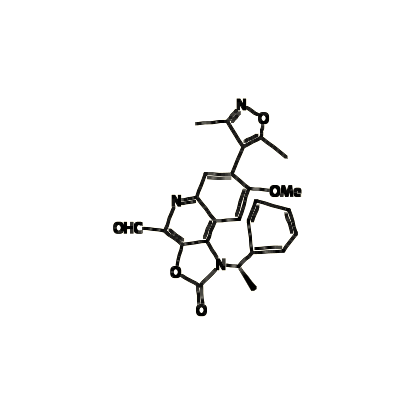 COc1cc2c(cc1-c1c(C)noc1C)nc(C=O)c1oc(=O)n([C@H](C)c3ccccc3)c12